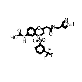 O=C(O)Nc1ccc2c(c1)N(S(=O)(=O)c1cccc(C(F)(F)F)c1)CC(CC(=O)NCc1cn[nH]c1)O2